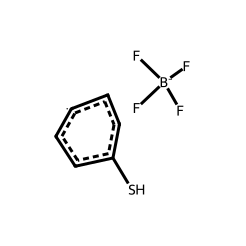 F[B-](F)(F)F.Sc1cc[c]cc1